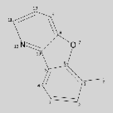 Cc1cccc2c1oc1cccnc12